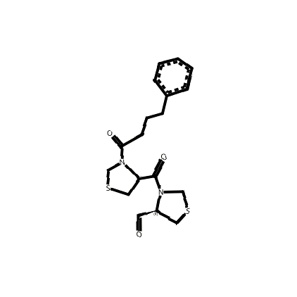 O=C[C@@H]1CSCN1C(=O)C1CSCN1C(=O)CCCc1ccccc1